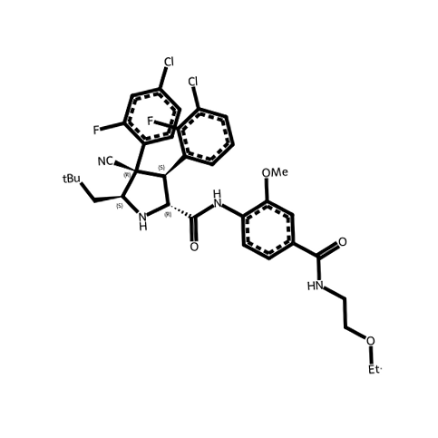 C[CH]OCCNC(=O)c1ccc(NC(=O)[C@@H]2N[C@@H](CC(C)(C)C)[C@](C#N)(c3ccc(Cl)cc3F)[C@H]2c2cccc(Cl)c2F)c(OC)c1